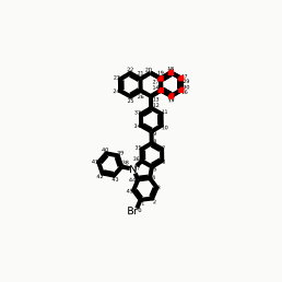 Brc1ccc2c3ccc(-c4ccc(C56c7ccccc7C(c7ccccc75)c5ccccc56)cc4)cc3n(-c3ccccc3)c2c1